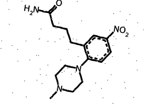 CN1CCN(c2ccc([N+](=O)[O-])cc2CCCC(N)=O)CC1